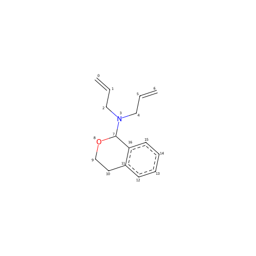 C=CCN(CC=C)C1OCCc2ccccc21